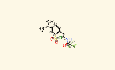 CC(C)c1ccc(CCNC(=O)C(F)(F)F)c(S(=O)(=O)Cl)c1